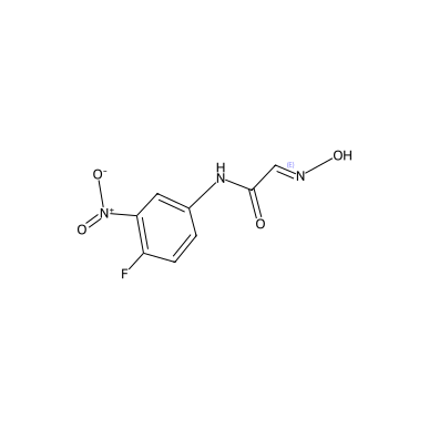 O=C(/C=N/O)Nc1ccc(F)c([N+](=O)[O-])c1